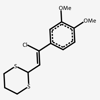 COc1ccc(/C(Cl)=C/C2SCCCS2)cc1OC